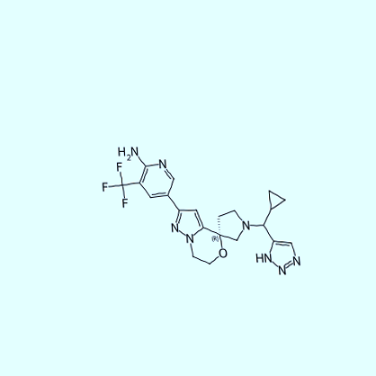 Nc1ncc(-c2cc3n(n2)CCO[C@@]32CCN(C(c3cnn[nH]3)C3CC3)C2)cc1C(F)(F)F